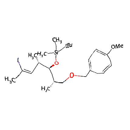 COc1ccc(COC[C@H](C)[C@H](O[Si](C)(C)C(C)(C)C)[C@@H](C)/C=C(/C)I)cc1